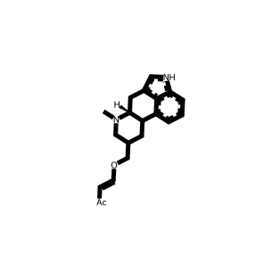 CC(=O)C=COCC1CC2c3cccc4[nH]cc(c34)C[C@H]2N(C)C1